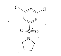 O=S(=O)(c1cc(Cl)cc(Cl)c1)N1[CH]CCC1